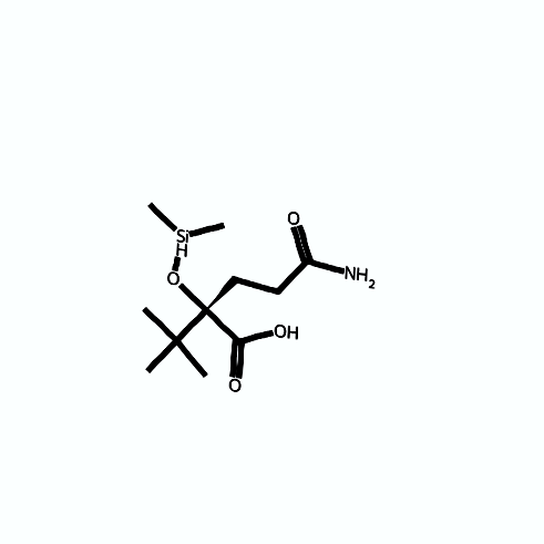 C[SiH](C)O[C@](CCC(N)=O)(C(=O)O)C(C)(C)C